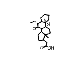 CC[C@H]1C(=O)C2C3CCC(CC(=O)O)C3(C)CC[C@@H]2C2(C)CCCCC12